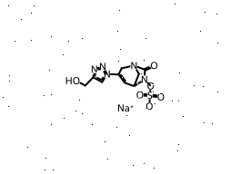 O=C1N2CC(n3cc(CO)nn3)=CC(C2)N1OS(=O)(=O)[O-].[Na+]